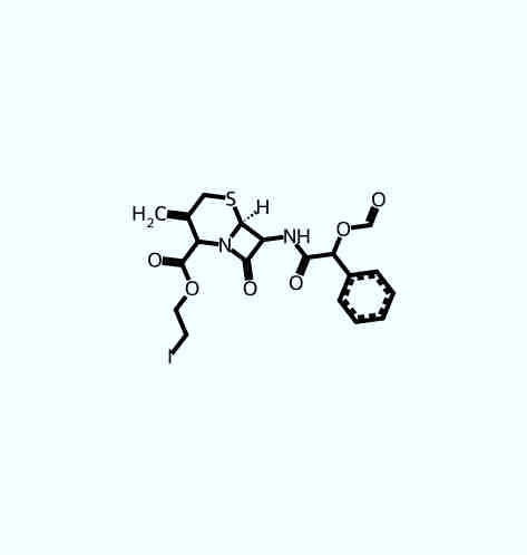 C=C1CS[C@H]2C(NC(=O)C(OC=O)c3ccccc3)C(=O)N2C1C(=O)OCCI